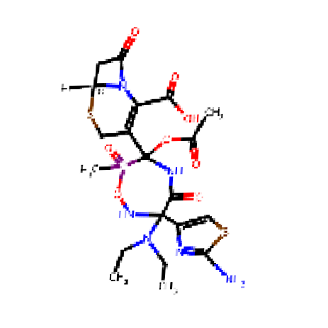 CCN(CC)C1(c2csc(N)n2)NOP(C)(=O)C(OC(C)=O)(C2=C(C(=O)O)N3C(=O)C[C@H]3SC2)NC1=O